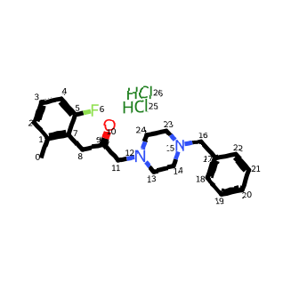 Cc1cccc(F)c1CC(=O)CN1CCN(Cc2ccccc2)CC1.Cl.Cl